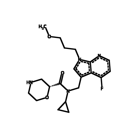 COCCCn1cc(CN(C(=O)[C@H]2CNCCO2)C2CC2)c2c(F)ccnc21